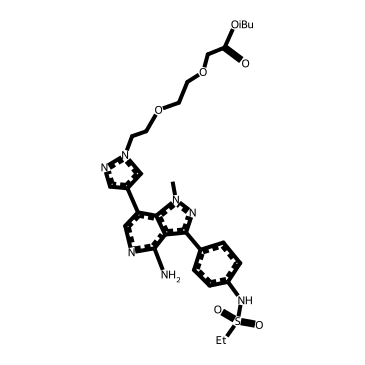 CCS(=O)(=O)Nc1ccc(-c2nn(C)c3c(-c4cnn(CCOCCOCC(=O)OCC(C)C)c4)cnc(N)c23)cc1